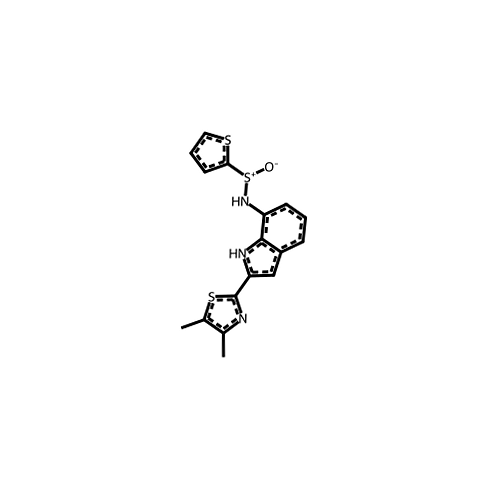 Cc1nc(-c2cc3cccc(N[S+]([O-])c4cccs4)c3[nH]2)sc1C